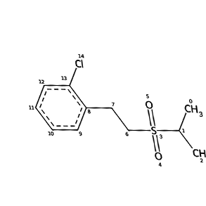 CC(C)S(=O)(=O)CCc1ccccc1Cl